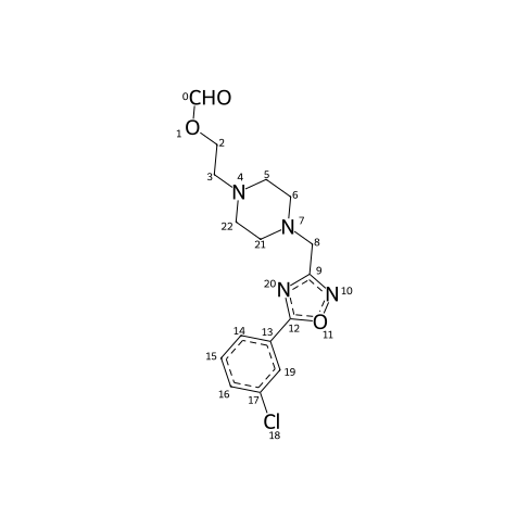 O=COCCN1CCN(Cc2noc(-c3cccc(Cl)c3)n2)CC1